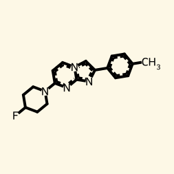 Cc1ccc(-c2cn3ccc(N4CCC(F)CC4)nc3n2)cc1